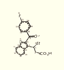 CCC(CC(=O)O)c1c(C(=O)c2ccc(F)cc2)oc2ccccc12